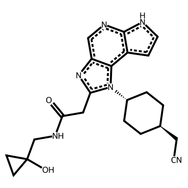 N#CC[C@H]1CC[C@H](n2c(CC(=O)NCC3(O)CC3)nc3cnc4[nH]ccc4c32)CC1